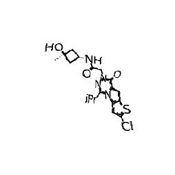 CC(C)c1nn(CC(=O)N[C@H]2C[C@](C)(O)C2)c(=O)c2cc3sc(Cl)cc3n12